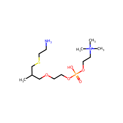 CC(COCCOP(=O)(O)OCC[N+](C)(C)C)CSCCN